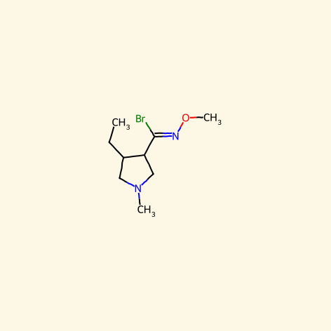 CCC1CN(C)CC1C(Br)=NOC